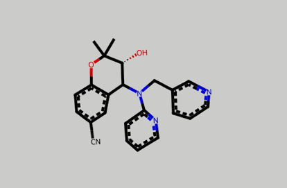 CC1(C)Oc2ccc(C#N)cc2C(N(Cc2cccnc2)c2ccccn2)[C@H]1O